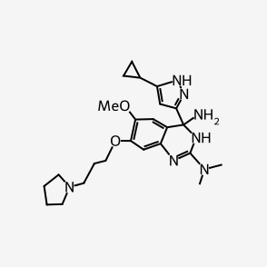 COc1cc2c(cc1OCCCN1CCCC1)N=C(N(C)C)NC2(N)c1cc(C2CC2)[nH]n1